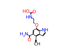 C#Cc1c(C(N)=O)cc(OCCNC(=O)O)c2[nH]ccc12